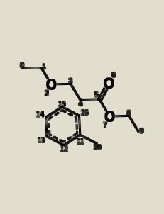 CCOCCC(=O)OCC.Cc1ccccc1